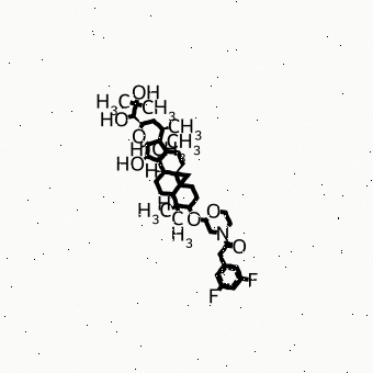 C[C@@H]1C[C@H](C(O)C(C)(C)O)O[C@H]2C1[C@@]1(C)CC[C@@]34CC35CCC(OC3CN(C(=O)Cc6cc(F)cc(F)c6)CCO3)C(C)(C)[C@@H]5CC[C@H]4[C@]1(C)[C@H]2O